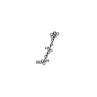 CC(C)(C)OC(=O)NCCOCCOCC(=O)NCCOCCOCC(=O)ON1C(=O)CCC1=O